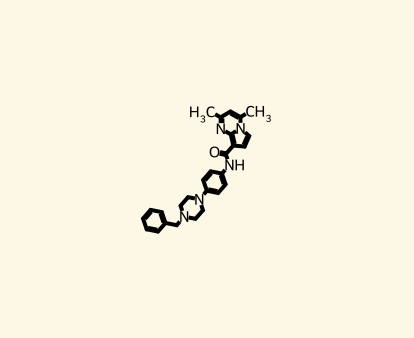 Cc1cc(C)n2ccc(C(=O)Nc3ccc(N4CCN(Cc5ccccc5)CC4)cc3)c2n1